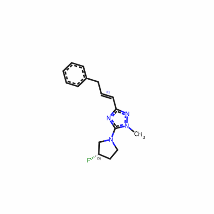 Cn1nc(/C=C/Cc2ccccc2)nc1N1CC[C@H](F)C1